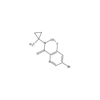 CN(C(=O)c1ncc(Br)cc1F)C1(C)CC1